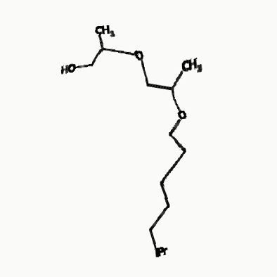 CC(C)CCCCCOC(C)COC(C)CO